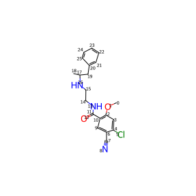 COc1cc(Cl)c(C#N)cc1C(=O)NCCNC(C)Cc1ccccc1